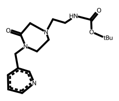 CC(C)(C)OC(=O)NCCN1CCN(Cc2cccnc2)C(=O)C1